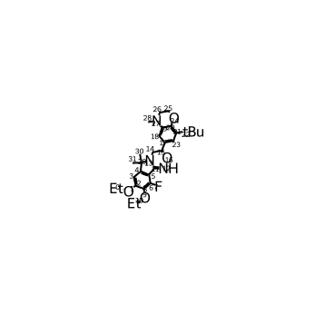 CCOc1cc2c(c(F)c1OCC)C(=N)N(CC(=O)c1cc3c(c(C(C)(C)C)c1)OCCN3C)C2(C)C